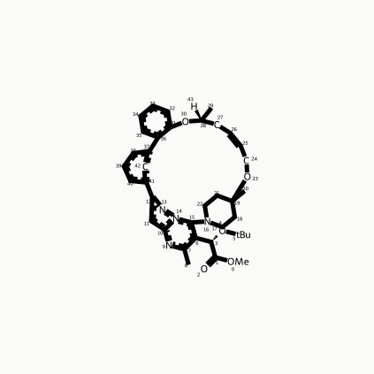 COC(=O)[C@@H](OC(C)(C)C)c1c(C)nc2cc3nn2c1N1CCC(C)(CC1)OCC=CC[C@@H](C)Oc1ccccc1-c1cccc-3c1